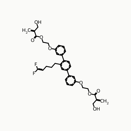 C=C(CO)C(=O)OCCOc1cccc(-c2ccc(-c3cccc(OCCOC(=O)C(=C)CO)c3)c(CCCC=C(F)F)c2)c1